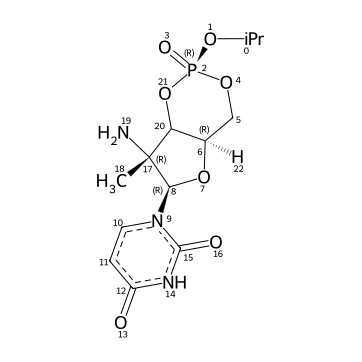 CC(C)O[P@@]1(=O)OC[C@H]2O[C@@H](n3ccc(=O)[nH]c3=O)[C@](C)(N)C2O1